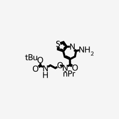 CCCN(OCCNC(=O)OC(C)(C)C)C(=O)C1=Cc2cscc2N=C(N)C1